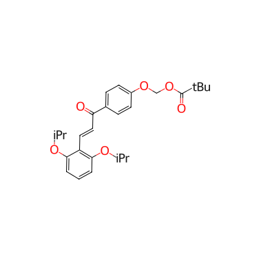 CC(C)Oc1cccc(OC(C)C)c1C=CC(=O)c1ccc(OCOC(=O)C(C)(C)C)cc1